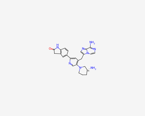 Nc1nccn2c(Cc3cc(-c4ccc5c(c4)CC(=O)N5)ncc3N3CCC[C@@H](N)C3)cnc12